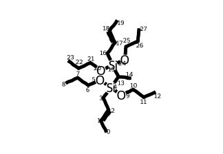 CC=CC[Si](OCCC)(OCCC)C(C)[Si](CC=CC)(OCCC)OCCC